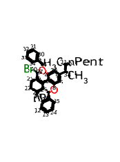 CCCCCC(C)C(C)c1cc(OCc2ccccc2)c(C2=C(CBr)CCC(CCC)C2)c(OCc2ccccc2)c1